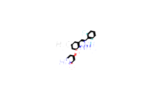 CC1CC(/C=C(\N)c2c(F)cccc2F)=C(N)C(Oc2cc[nH]c(=O)c2)C1